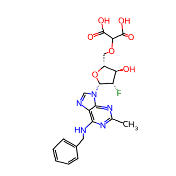 Cc1nc(NCc2ccccc2)c2ncn([C@@H]3O[C@H](COC(C(=O)O)C(=O)O)[C@@H](O)[C@@H]3F)c2n1